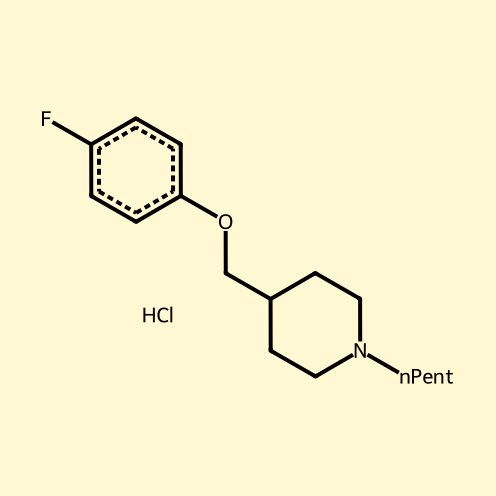 CCCCCN1CCC(COc2ccc(F)cc2)CC1.Cl